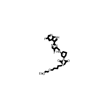 CCOCCOCCCCCN1CC(=O)N([C@@H]2CCC[C@H](NCc3nc(-c4c[nH]c5ncc(F)cc45)ncc3F)C2)C1=O